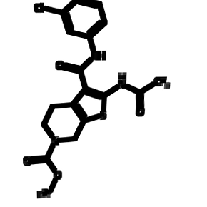 CCCOC(=O)N1CCc2c(sc(NC(=O)C(F)(F)F)c2C(=O)Nc2cccc(Cl)c2)C1